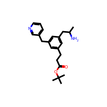 CC(N)Cc1cc(CCC(=O)OC(C)(C)C)cc(Cc2cccnc2)c1